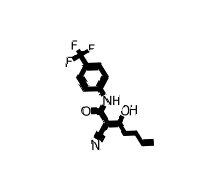 C=CCCC(O)=C(C#N)C(=O)Nc1ccc(C(F)(F)F)cc1